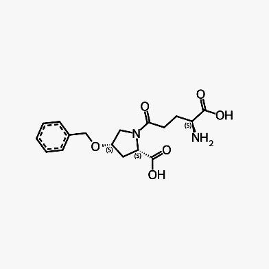 N[C@@H](CCC(=O)N1C[C@@H](OCc2ccccc2)C[C@H]1C(=O)O)C(=O)O